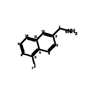 NCc1ccc2c(I)cccc2c1